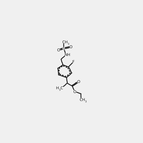 CCOC(=O)C(C)c1ccc(CNS(C)(=O)=O)c(F)c1